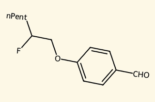 CCCCCC(F)COc1ccc(C=O)cc1